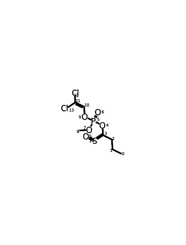 CCCC(OP(=O)(OC)OC=C(Cl)Cl)=S=O